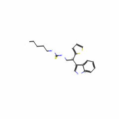 CCCCCNC(=S)NCC(c1cccs1)c1c[nH]c2ccccc12